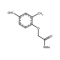 CNC(=O)COc1ccc(C=O)cc1C